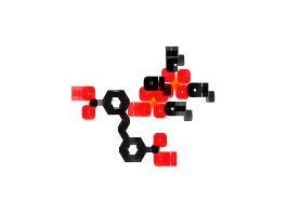 COP(=O)(O)OC.COP(=O)(O)OC.O=C(O)c1cccc(C=Cc2cccc(C(=O)O)c2)c1